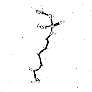 CCCCOP(=S)(S)OCCCCCC(C)C